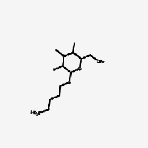 CC(=O)OCC1OC(SCCCCC(=O)O)C(C)C(C)C1C